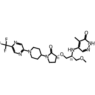 COC[C@@H](CO[C@@H]1CCN(C2CCN(c3cnc(C(F)(F)F)cn3)CC2)C1=O)Nc1cn[nH]c(=O)c1C